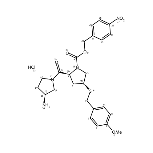 COc1ccc(CS[C@H]2C[C@@H](C(=O)N3CC[C@H](N)C3)N(C(=O)OCc3ccc([N+](=O)[O-])cc3)C2)cc1.Cl